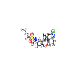 C=CCC[C@@H](C)S(=O)(=O)NC(=O)c1ccc2c(c1)NCC1(CCCc3nc(Cl)ccc31)CO2